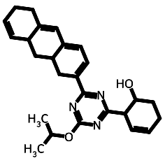 CC(C)Oc1nc(C2=CC=C3C=C4CCC=CC4CC3C2)nc(C2C=CCCC2O)n1